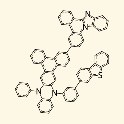 c1ccc(N2c3ccccc3N(c3cccc(-c4ccc5c(c4)sc4ccccc45)c3)c3cc4c5ccc(-c6ccc7c(c6)c6ccccc6c6nc8ccccc8n76)cc5c5ccccc5c4cc32)cc1